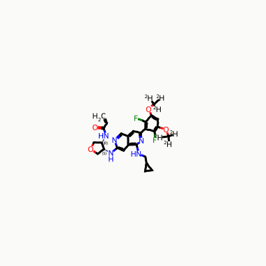 [2H]C([2H])([2H])Oc1cc(OC([2H])([2H])[2H])c(F)c(-c2cc3cnc(N[C@@H]4COC[C@@H]4NC(=O)C=C)cc3c(NCC3CC3)n2)c1F